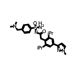 CC(C)c1cc(-c2ccn(C)n2)cc(C(C)C)c1CC(=O)N=S(N)(=O)c1ccc(CN(C)C)cc1